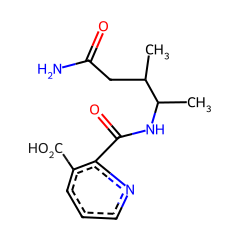 CC(CC(N)=O)C(C)NC(=O)c1ncccc1C(=O)O